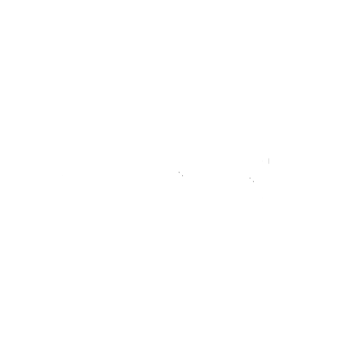 CN(C)CCC1=CC2=CC=C(c3ccsc3)CC2=N1